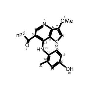 CCCC(=O)c1cnc2c(OC)csc2c1Nc1ccc(O)cc1C